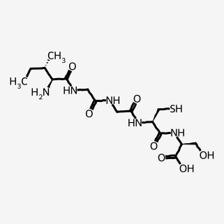 CC[C@H](C)[C@H](N)C(=O)NCC(=O)NCC(=O)N[C@@H](CS)C(=O)N[C@@H](CO)C(=O)O